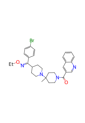 CCO/N=C(\c1ccc(Br)cc1)C1CCN(C2(C)CCN(C(=O)c3cnc4ccccc4c3)CC2)CC1